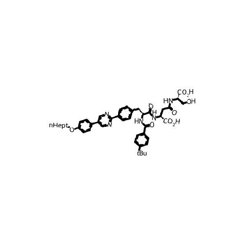 CCCCCCCOc1ccc(-c2cnc(-c3ccc(C[C@H](NC(=O)c4ccc(C(C)(C)C)cc4)C(=O)N[C@@H](CC(=O)N[C@@H](CO)C(=O)O)C(=O)O)cc3)nc2)cc1